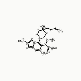 C=CCCC1(C)CCN(c2c(C(OC(C)(C)C)C(=O)OC)c(C)cc3nc(C(=O)O)cn23)CC1